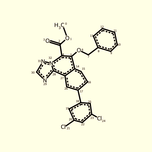 COC(=O)c1c(OCc2ccccc2)c2ccc(-c3cc(Cl)cc(Cl)c3)cc2c2ncnn12